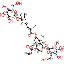 C=C[C@](C)(CC/C=C(\C)C(=O)O[C@H]1C[C@@H]2C(C(=O)OC)=CO[C@@H](O[C@@H]3O[C@H](CO)[C@@H](O)[C@H](O)[C@H]3O)[C@@H]2[C@H]1C)O[C@@H]1O[C@H](CO)[C@@H](O)[C@H](O)[C@H]1O